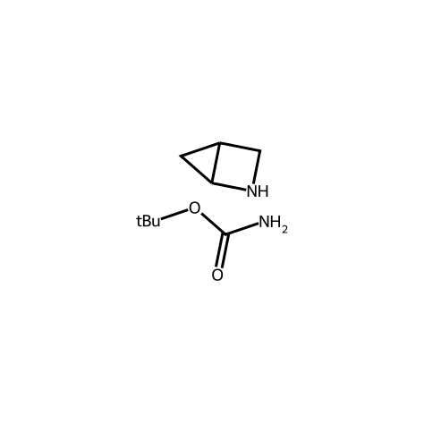 C1NC2CC12.CC(C)(C)OC(N)=O